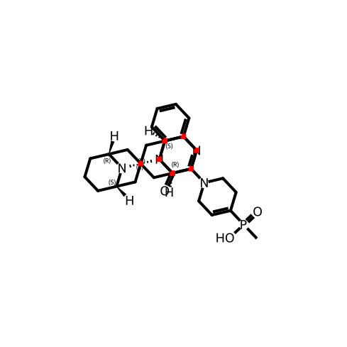 CP(=O)(O)C1=CCN(c2nc3ccccc3n([C@H]3C[C@H]4CCC[C@@H](C3)N4[C@H]3C[C@@H]4CCC[C@@H](C4)C3)c2=O)CC1